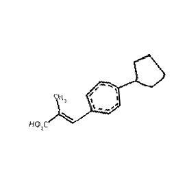 CC(=Cc1ccc(C2CCCC2)cc1)C(=O)O